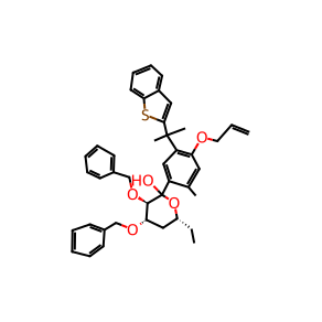 C=CCOc1cc(C)c(C2(O)O[C@H](CC)C[C@H](OCc3ccccc3)[C@H]2OCc2ccccc2)cc1C(C)(C)c1cc2ccccc2s1